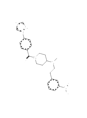 CN(CCc1cccc([N+](=O)[O-])c1)C1CCN(C(=O)c2ccc(-n3cncn3)cc2)CC1